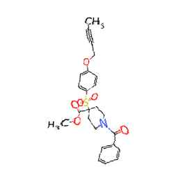 CC#CCOc1ccc(S(=O)(=O)C2(C(=O)OC)CCN(C(=O)c3ccccc3)CC2)cc1